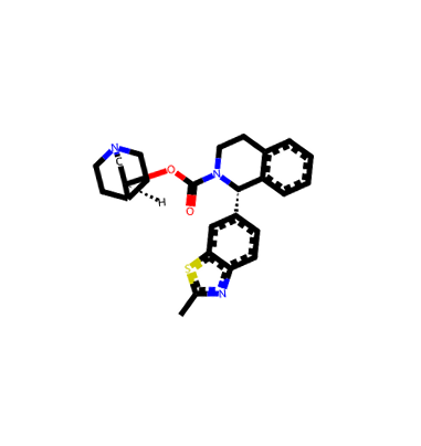 Cc1nc2ccc([C@H]3c4ccccc4CCN3C(=O)O[C@@H]3CN4CCC3CC4)cc2s1